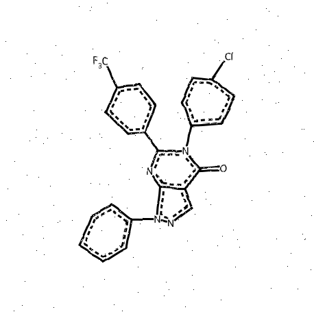 O=c1c2cnn(-c3ccccc3)c2nc(-c2ccc(C(F)(F)F)cc2)n1-c1ccc(Cl)cc1